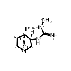 I.N=C(NN)N[C@@H]1CN2CCC1CC2